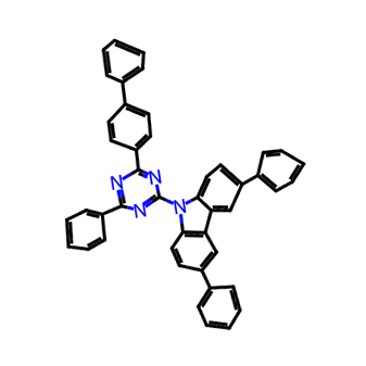 c1ccc(-c2ccc(-c3nc(-c4ccccc4)nc(-n4c5ccc(-c6ccccc6)cc5c5cc(-c6ccccc6)ccc54)n3)cc2)cc1